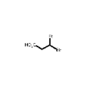 C[CH]C(CC)CC(=O)O